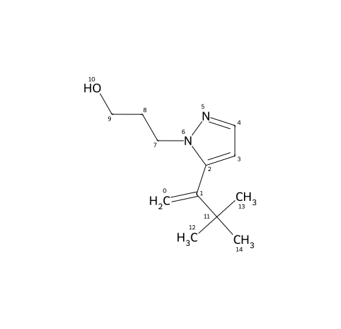 C=C(c1ccnn1CCCO)C(C)(C)C